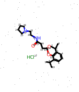 CC(C)c1cccc(C(C)C)c1OC(=O)CCC(=O)NCCN1CCCC1.Cl